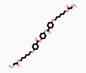 C=CC(=O)OCCCCCCOC1CCC(C(=O)OC2CCC(OC(=O)C3CCC(OCCCCCCOC(=O)C=C)CC3)CC2)CC1